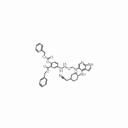 N#CCC1CCC(Nc2c(NCSNNc3ccc(OC(=O)OCc4ccccc4)c(C(=O)OCc4ccccc4)c3)cnc3[nH]ccc23)CC1